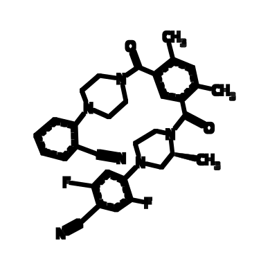 Cc1cc(C)c(C(=O)N2CCN(c3cc(F)c(C#N)cc3F)C[C@@H]2C)cc1C(=O)N1CCN(c2ccccc2C#N)CC1